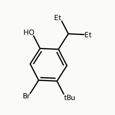 CCC(CC)c1cc(C(C)(C)C)c(Br)cc1O